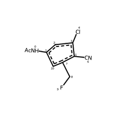 CC(=O)Nc1cc(Cl)c(C#N)c(CF)c1